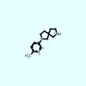 Cc1ccc(N2CCC3(CCNC3)C2)cn1